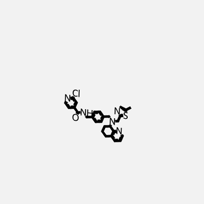 Cc1cnc(CN(Cc2ccc(CNC(=O)c3ccnc(Cl)c3)cc2)C2CCCc3cccnc32)s1